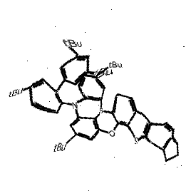 CC(C)(C)c1cc(-c2cc(C(C)(C)C)ccc2N2c3ccc(C(C)(C)C)cc3B3c4ccc5c(sc6c7c(ccc65)CCC7)c4Oc4cc(C(C)(C)C)cc2c43)cc(C(C)(C)C)c1